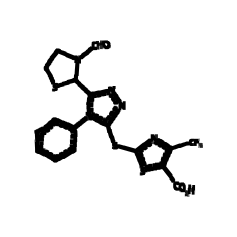 O=CN1CCSC1c1nnc(Sc2nc(C(F)(F)F)c(C(=O)O)s2)n1-c1ccccc1